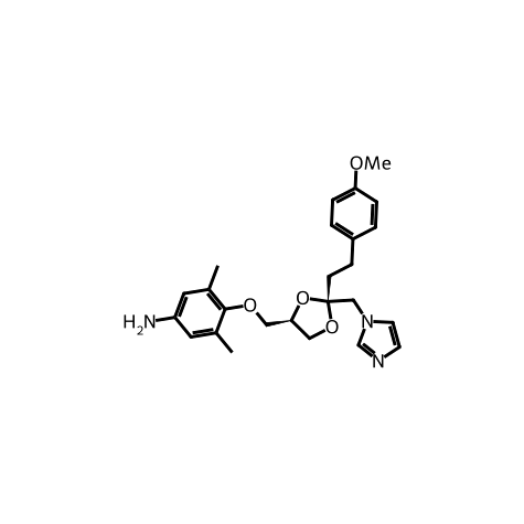 COc1ccc(CC[C@@]2(Cn3ccnc3)OC[C@@H](COc3c(C)cc(N)cc3C)O2)cc1